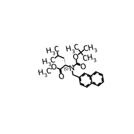 COC(=O)[C@H](CC(C)C)N(Cc1ccc2ccccc2c1)C(=O)OC(C)(C)C